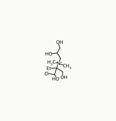 CCC(CO)(C(O)Cl)[N+](C)(C)CC(O)CO